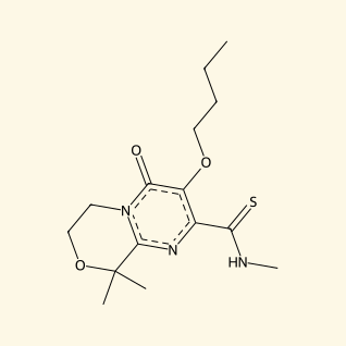 CCCCOc1c(C(=S)NC)nc2n(c1=O)CCOC2(C)C